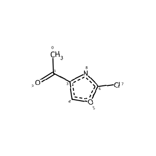 CC(=O)c1coc(Cl)n1